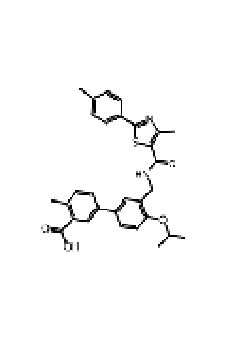 Cc1ccc(-c2nc(C)c(C(=O)NCc3cc(-c4ccc(C)c(C(=O)O)c4)ccc3OC(C)C)s2)cc1